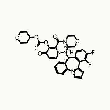 O=C(Oc1c2n(ccc1=O)N([C@@H]1c3ccccc3-n3cccc3-c3c1ccc(F)c3F)[C@@H]1COCCN1C2=O)OC1CCOCC1